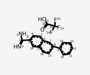 N=C(N)c1ccc2cc(-c3ccccc3)ccc2c1.O=C(O)C(F)(F)F